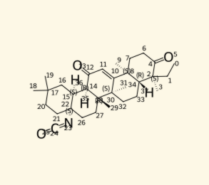 CC[C@]1(C)C(=O)CC[C@]2(C)C3=CC(=O)[C@@H]4[C@@H]5CC(C)(C)CC[C@]5(N=C=O)CC[C@@]4(C)[C@]3(C)CC[C@@H]12